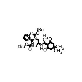 CCCCC(CN(C(=O)OC(C)(C)C)C(=NC(=O)OC(C)(C)C)n1cccn1)NC(C)=C1C(=O)CC(C)(C)CC1=O